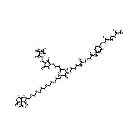 CNC(=O)CCNC(=O)CCc1ccc(NC(=O)COCC(=O)NCCCC[C@@H](NC(=O)CCSC2CC(=O)N(CCC(=O)C3(C(C)=O)SS3)C2=O)C(=O)NCCOCCOCCOCCOCCC(=O)C(C(C)=O)(C(C)=O)C(C)=O)cc1